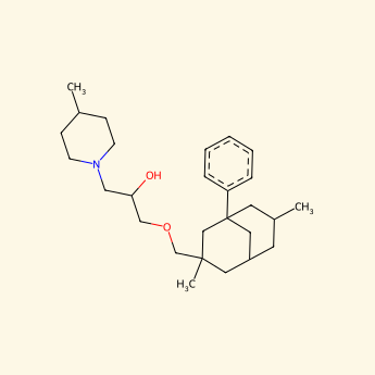 CC1CCN(CC(O)COCC2(C)CC3CC(C)CC(c4ccccc4)(C3)C2)CC1